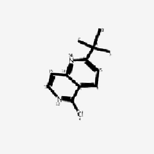 CC(C)(C)c1ccc2c(Cl)nccc2n1